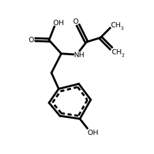 C=C(C)C(=O)NC(Cc1ccc(O)cc1)C(=O)O